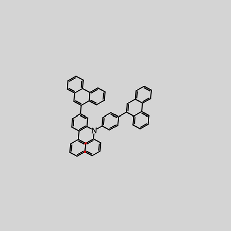 c1ccc(-c2ccc(-c3cc4ccccc4c4ccccc34)cc2N(c2ccccc2)c2ccc(-c3cc4ccccc4c4ccccc34)cc2)cc1